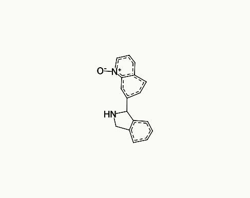 [O-][n+]1cccc2ccc(C3NCc4ccccc43)cc21